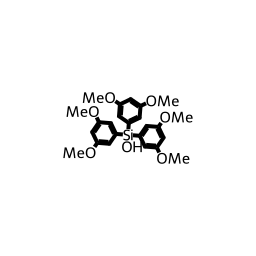 COc1cc(OC)cc([Si](O)(c2cc(OC)cc(OC)c2)c2cc(OC)cc(OC)c2)c1